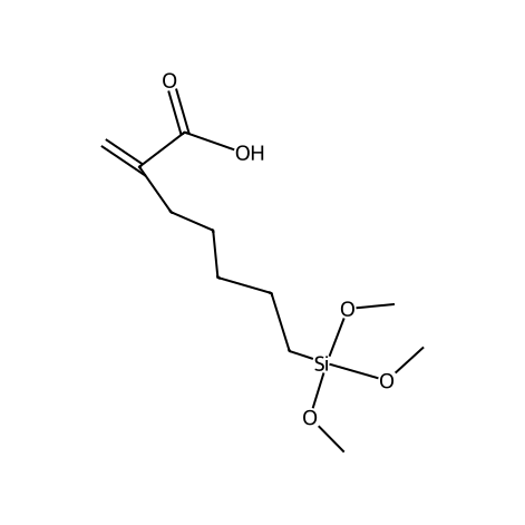 C=C(CCCCC[Si](OC)(OC)OC)C(=O)O